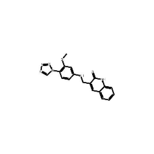 COc1cc(NCc2cc3ccccc3[nH]c2=O)ccc1-n1cnnn1